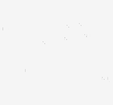 CCOc1ncc(-c2ccc(N)cc2-c2nnn[nH]2)cc1F